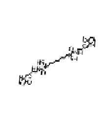 COc1cccnc1CSCCNC(=O)N(S)CCCCCCCCN(S)C(=O)NCCSCc1ncccc1OC